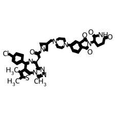 Cc1sc2c(c1C)C(c1ccc(Cl)cc1)=N[C@@H](CC(=O)N1CC(CN3CCN(c4ccc5c(c4)C(=O)N(C4CCC(=O)NC4=O)C5=O)CC3)C1)c1nnc(C)n1-2